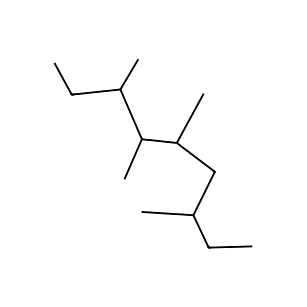 CCC(C)CC(C)C(C)C(C)CC